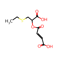 CCSCC(OC(=O)C=CC(=O)O)C(=O)O